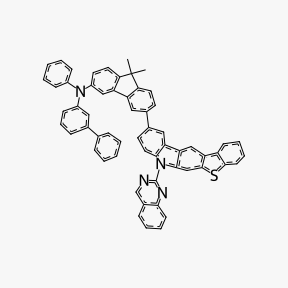 CC1(C)c2ccc(-c3ccc4c(c3)c3cc5c(cc3n4-c3ncc4ccccc4n3)sc3ccccc35)cc2-c2cc(N(c3ccccc3)c3cccc(-c4ccccc4)c3)ccc21